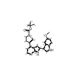 COc1ccc2[nH]cc(-c3cc4c(C5=CCN(C(=O)OC(C)(C)C)CC5)ccnc4[nH]3)c2c1